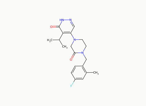 Cc1cc(F)ccc1CN1CCN(c2cn[nH]c(=O)c2C(C)C)CC1=O